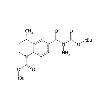 C[C@H]1CCN(C(=O)OC(C)(C)C)c2ccc(C(=O)N(N)C(=O)OC(C)(C)C)cc21